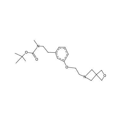 CN(CCc1cccc(OCCN2CC3(COC3)C2)c1)C(=O)OC(C)(C)C